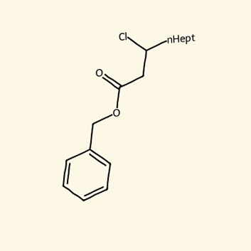 CCCCCCCC(Cl)CC(=O)OCc1ccccc1